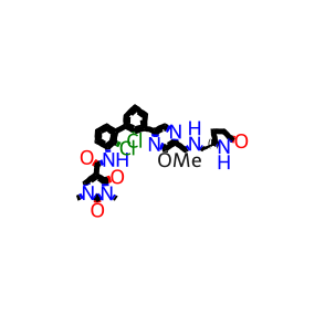 COc1nc(-c2cccc(-c3cccc(NC(=O)c4cn(C)c(=O)n(C)c4=O)c3Cl)c2Cl)cnc1CNC[C@H]1CCC(=O)N1